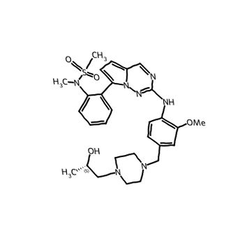 COc1cc(CN2CCN(C[C@H](C)O)CC2)ccc1Nc1ncc2ccc(-c3ccccc3N(C)S(C)(=O)=O)n2n1